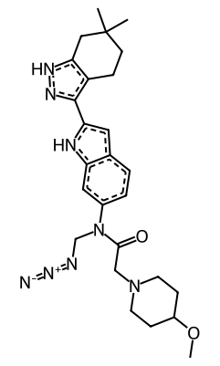 COC1CCN(CC(=O)N(CN=[N+]=[N-])c2ccc3cc(-c4n[nH]c5c4CCC(C)(C)C5)[nH]c3c2)CC1